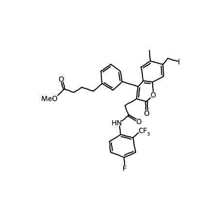 COC(=O)CCCc1cccc(-c2c(CC(=O)Nc3ccc(F)cc3C(F)(F)F)c(=O)oc3cc(CI)c(C)cc23)c1